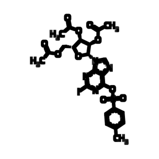 CC(=O)OC[C@H]1O[C@@H](n2cnc3c(OS(=O)(=O)c4ccc(C)cc4)nc(I)nc32)[C@H](OC(C)=O)[C@@H]1OC(C)=O